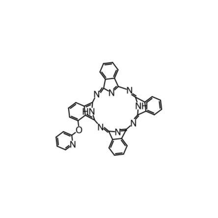 c1ccc(Oc2cccc3c4nc5nc(nc6[nH]c(nc7nc(nc([nH]4)c23)-c2ccccc2-7)c2ccccc62)-c2ccccc2-5)nc1